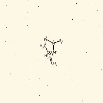 C=C.CC(=O)O.CCN(CC)C(C)=O